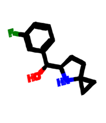 O[C@@H](c1cccc(F)c1)[C@H]1CCC2(CC2)N1